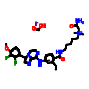 CCc1cc(Nc2nccn3c(-c4ccc(OC)c(F)c4F)cnc23)ccc1C(=O)NCCCCC[N+](C)(C)CC(N)=O.O=CO.[I-]